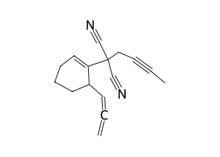 C=C=CC1CCCC=C1C(C#N)(C#N)CC#CC